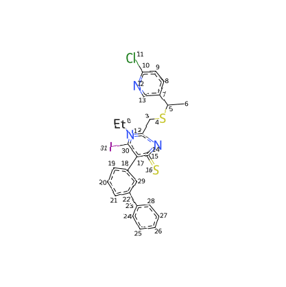 CCn1c(CSC(C)c2ccc(Cl)nc2)nc(=S)c(-c2cccc(-c3ccccc3)c2)c1I